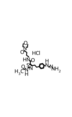 CC(=O)Nc1nc(CCc2ccc(NC=NN)cc2)c(C(=O)NCCCC(=O)N2CCOCC2)s1.Cl